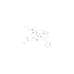 COC(=O)[C@@H]1C[C@H](OC(C)=O)C(=O)[C@@H]2[C@H]3C[C@@H](c4ccoc4)CC(=O)[C@@H]3CC[C@]21C